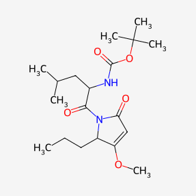 CCCC1C(OC)=CC(=O)N1C(=O)C(CC(C)C)NC(=O)OC(C)(C)C